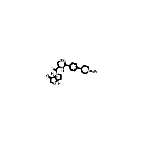 CCCN1CCC(c2ccc(C(=O)NC(CC(C)(C)C)C(=O)N3CC[C@H]4OCC(=O)[C@H]43)cc2)CC1